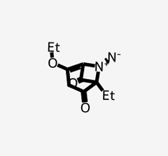 CCOC1=C2C(=O)C(CC)(C(=O)C1)[N+]2=[N-]